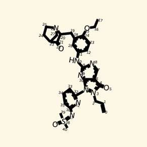 C=CCn1c(=O)c2cnc(Nc3ccc(OCC)c(CC4C(=O)C5CCN4C5)c3)nc2n1-c1cccc(N=S(C)(C)=O)n1